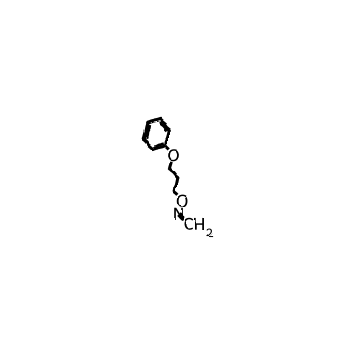 C=NOCCCOc1ccccc1